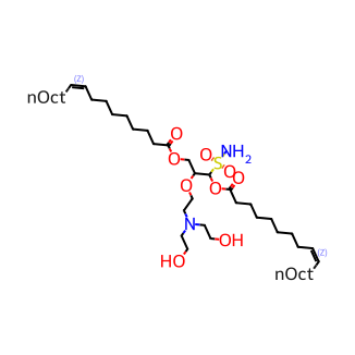 CCCCCCCC/C=C\CCCCCCCC(=O)OCC(OCCN(CCO)CCO)C(OC(=O)CCCCCCC/C=C\CCCCCCCC)S(N)(=O)=O